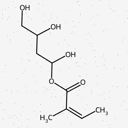 CC=C(C)C(=O)OC(O)CC(O)CO